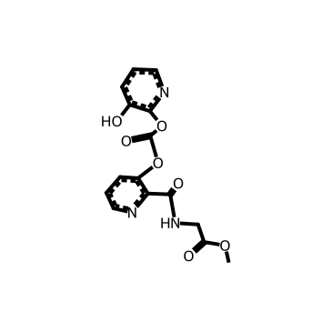 COC(=O)CNC(=O)c1ncccc1OC(=O)Oc1ncccc1O